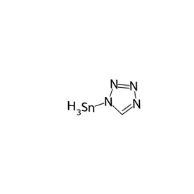 [SnH3][n]1cnnn1